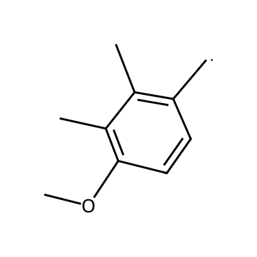 [CH2]c1ccc(OC)c(C)c1C